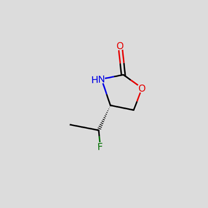 CC(F)[C@H]1COC(=O)N1